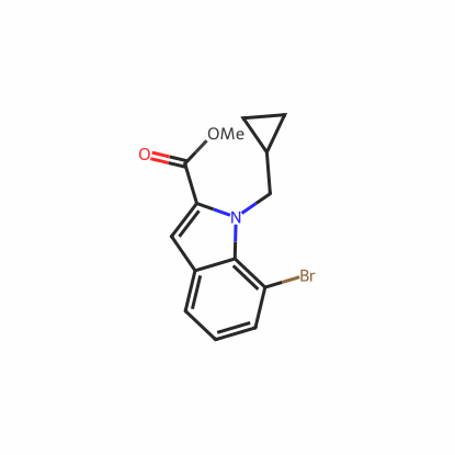 COC(=O)c1cc2cccc(Br)c2n1CC1CC1